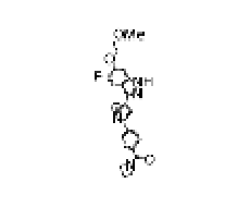 COCCOc1cc2[nH]nc(-c3cc(-c4ccc(C(=O)N5CCC5)cc4)no3)c2cc1F